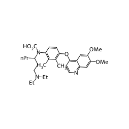 CCCC(CCN(CC)CC)N(C(=O)O)c1ccc(Oc2ccnc3cc(OC)c(OC)cc23)c(C)c1C